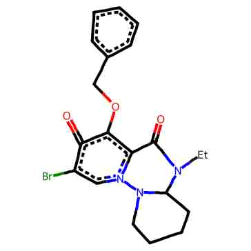 CCN1C(=O)c2c(OCc3ccccc3)c(=O)c(Br)cn2N2CCCCC12